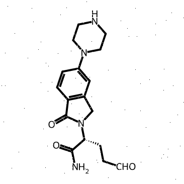 NC(=O)[C@@H](CCC=O)N1Cc2cc(N3CCNCC3)ccc2C1=O